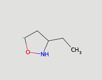 CCC1C[CH]ON1